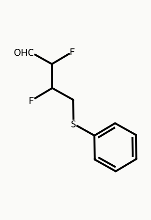 O=CC(F)C(F)CSc1ccccc1